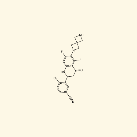 N#Cc1ccc(Cl)c(C2CC(=O)c3c(cc(F)c(N4CC5(CNC5)C4)c3F)N2)c1